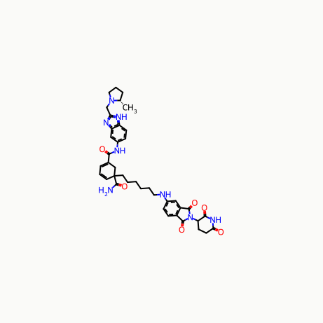 C[C@H]1CCCN1Cc1nc2cc(NC(=O)C3=CC=CC(CCCCCCNc4ccc5c(c4)C(=O)N(C4CCC(=O)NC4=O)C5=O)(C(N)=O)C3)ccc2[nH]1